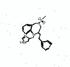 CS(=O)(=O)N1Cc2ccccc2N(Cc2c[nH]cn2)C(CCc2ccccc2)C1